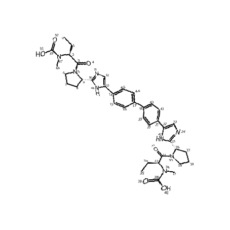 CC[C@@H](C(=O)N1CCC[C@H]1c1ncc(-c2ccc(-c3ccc(-c4cnc([C@@H]5CCCN5C(=O)[C@H](CC)N(C)C(=O)O)[nH]4)cc3)cc2)[nH]1)N(C)C(=O)O